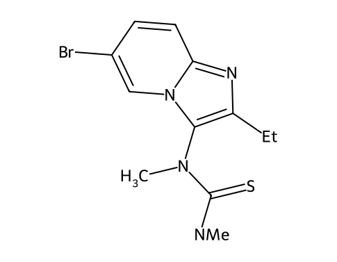 CCc1nc2ccc(Br)cn2c1N(C)C(=S)NC